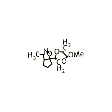 C=C(OC(C)C(=O)OC)C12CCCC1C(C)=NO2